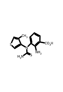 Cc1cscc1N(C(N)=S)c1cccc(C(=O)O)c1N